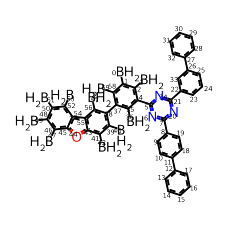 Bc1c(B)c(-c2nc(-c3ccc(-c4ccccc4)cc3)nc(-c3cccc(-c4ccccc4)c3)n2)c(B)c(-c2c(B)c(B)c3oc4c(B)c(B)c(B)c(B)c4c3c2B)c1B